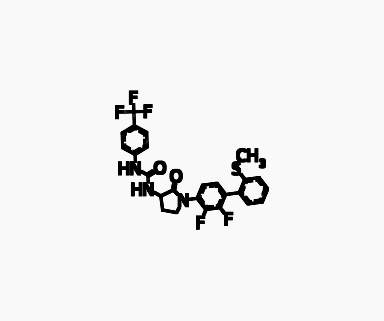 CSc1ccccc1-c1ccc(N2CCC(NC(=O)Nc3ccc(C(F)(F)F)cc3)C2=O)c(F)c1F